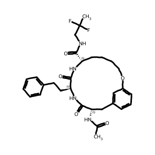 CC(=O)N[C@H]1Cc2cccc(c2)OCCCC[C@@H](C(=O)NCC(C)(F)F)NC(=O)[C@H](CCc2ccccc2)NC1=O